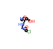 CC(CCNCC/C=C1/c2cc(C(C)(C)O)ccc2OCc2ncccc21)N(CC=O)Cc1ccc(Cl)cc1